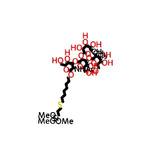 CO[Si](CCCSCCCCCCCCO[C@@H]1OC(CO)[C@@H](O)[C@H](O[C@@H]2OC(CO)[C@H](O)[C@H](O[C@H]3OC(CO)[C@H](O)[C@H](O)C3C)C2O[C@@H]2OC(C)[C@@H](O)[C@H](O)C2O)C1NC(C)=O)(OC)OC